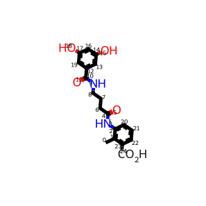 Cc1c(NC(=O)CCCNC(=O)c2cc(O)cc(O)c2)cccc1C(=O)O